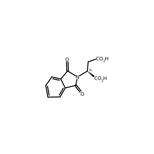 O=C(O)C[C@@H](C(=O)O)N1C(=O)c2ccccc2C1=O